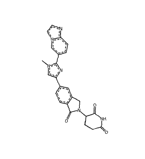 Cn1cc(-c2ccc3c(c2)CN(C2CCC(=O)NC2=O)C3=O)nc1-c1ccc2nccn2c1